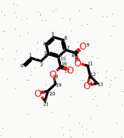 C=CCc1cccc(C(=O)OCC2CO2)c1C(=O)OCC1CO1